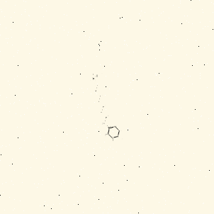 [CH2]CCOCCCCCCCCc1ccccc1